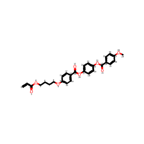 C=CC(=O)OCCCCOc1ccc(C(=O)Oc2ccc(OC(=O)c3ccc(OC)cc3)cc2)cc1